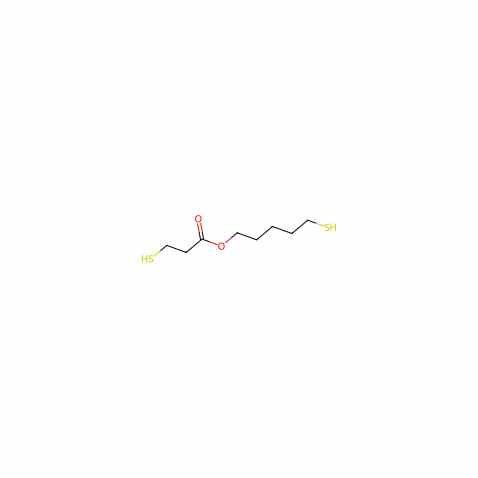 O=C(CCS)OCCCCCS